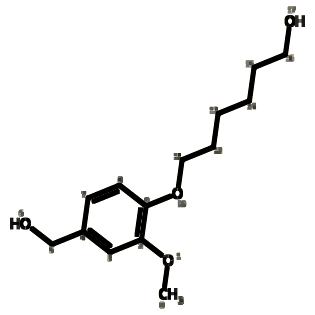 COc1cc(CO)ccc1OCCCCCCO